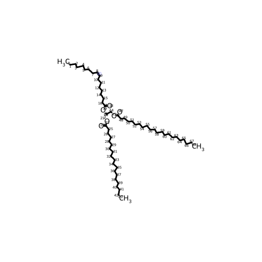 CCCCCCCC/C=C\CCCCCCCC(=O)O[C@@H](COC(=O)CCCCCCCCCCCCCCCCCCC)COC(=O)CCCCCCCCCCCCCCCCCCCCC